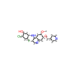 COc1cc2c(Nc3cc(O)c(Cl)cc3F)ccnc2cc1OCc1ccncc1